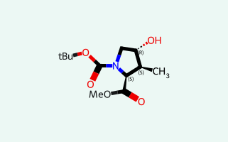 COC(=O)[C@@H]1[C@H](C)[C@@H](O)CN1C(=O)OC(C)(C)C